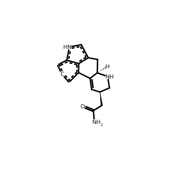 NC(=O)C[C@H]1C=C2c3cccc4[nH]cc(c34)C[C@H]2NC1